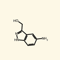 Nc1ccc2[nH]nc(CO)c2c1